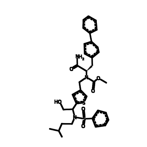 COC(=O)N(Cc1csc(C(CO)N(CCC(C)C)S(=O)(=O)c2ccccc2)c1)[C@@H](Cc1ccc(-c2ccccc2)cc1)C(N)=O